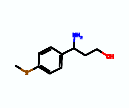 CSc1ccc(C(N)CCO)cc1